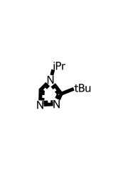 CC(C)n1cnnc1C(C)(C)C